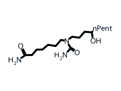 CCCCCC(O)CCCN(CCCCCCC(N)=O)C(N)=O